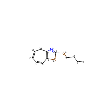 CCCCSc1nc2c(s1)C=CC=CC2